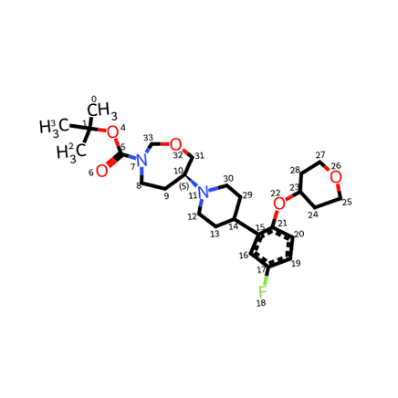 CC(C)(C)OC(=O)N1CC[C@H](N2CCC(c3cc(F)ccc3OC3CCOCC3)CC2)COC1